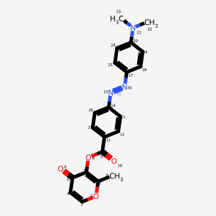 Cc1occc(=O)c1OC(=O)c1ccc(/N=N/c2ccc(N(C)C)cc2)cc1